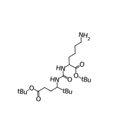 CC(C)(C)OC(=O)CCC(NC(=O)NC(CCCCN)C(=O)OC(C)(C)C)C(C)(C)C